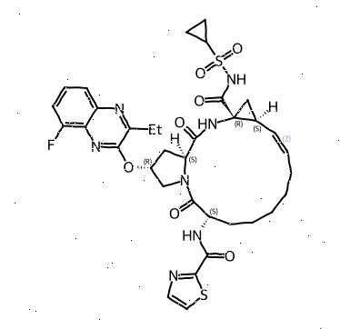 CCc1nc2cccc(F)c2nc1O[C@@H]1C[C@H]2C(=O)N[C@]3(C(=O)NS(=O)(=O)C4CC4)C[C@H]3/C=C\CCCCC[C@H](NC(=O)c3nccs3)C(=O)N2C1